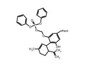 C=C(C)C1CCC(C)=CC1c1c(O)cc(CCCCC)cc1OCOP(=O)(Oc1ccccc1)Oc1ccccc1